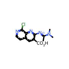 C/C(=N\c1nc2c(Cl)nccc2cc1C(=O)O)N(C)C